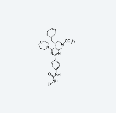 CCNC(=O)Nc1ccc(-c2nc3c(c(N4CCCOCC4)n2)C(Cc2ccccc2)CN(C(=O)O)C3)cc1